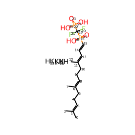 CC(C)=CCC/C(C)=C/CC/C(C)=C/C=C/P(=O)(O)C(F)(F)P(=O)(O)O.[KH].[KH].[KH]